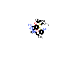 CCCSc1c(OC(C)CCC)c2c(c(OC(C)CCC)c1Sc1ccccc1N)C(=N)NC2=N